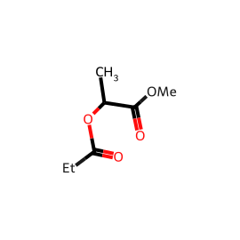 CCC(=O)OC(C)C(=O)OC